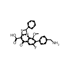 COc1c(-c2ccc(CN)cc2)c(F)cc2c(=O)c(C(=O)O)c3n(c12)C(c1ccccc1)S3